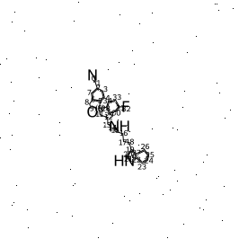 N#Cc1ccc2c(c1)CO[C@@]2(CCCNCCCCc1c[nH]c2ccccc12)c1ccc(F)cc1